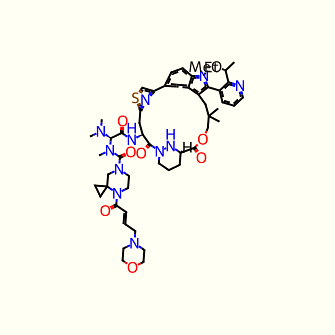 CCn1c(-c2cccnc2[C@H](C)OC)c2c3cc(ccc31)-c1csc(n1)C[C@H](NC(=O)[C@H](N(C)C)N(C)C(=O)N1CCN(C(=O)/C=C/CN3CCOCC3)C3(CC3)C1)C(=O)N1CCC[C@H](N1)C(=O)OCC(C)(C)C2